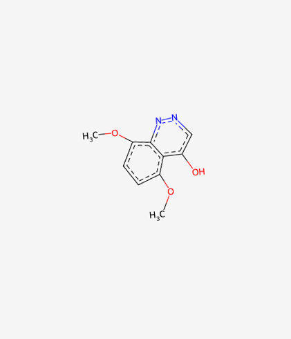 COc1ccc(OC)c2c(O)cnnc12